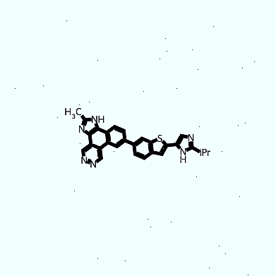 Cc1nc2c3cnncc3c3cc(-c4ccc5cc(-c6cnc(C(C)C)[nH]6)sc5c4)ccc3c2[nH]1